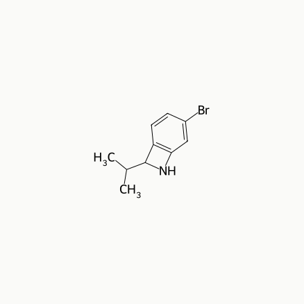 CC(C)C1Nc2cc(Br)ccc21